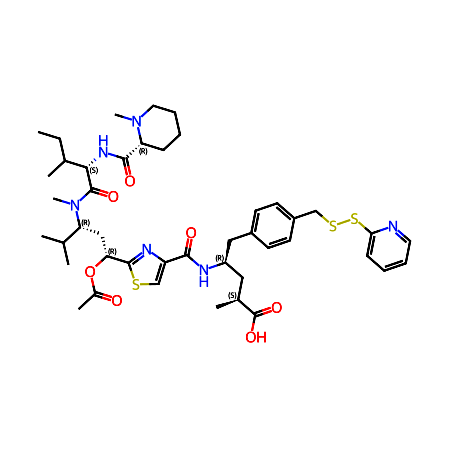 CCC(C)[C@H](NC(=O)[C@H]1CCCCN1C)C(=O)N(C)[C@H](C[C@@H](OC(C)=O)c1nc(C(=O)N[C@@H](Cc2ccc(CSSc3ccccn3)cc2)C[C@H](C)C(=O)O)cs1)C(C)C